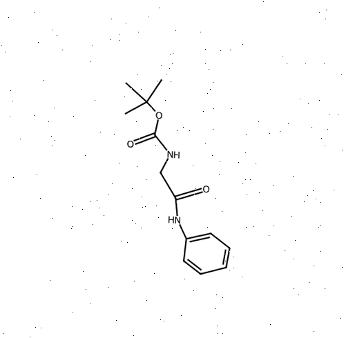 CC(C)(C)OC(=O)NCC(=O)Nc1ccccc1